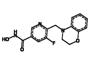 O=C(NO)c1cnc(CN2CCOc3ccccc32)c(F)c1